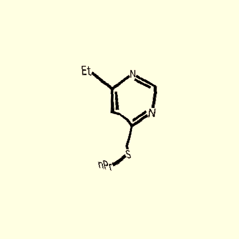 CCCSc1cc(CC)ncn1